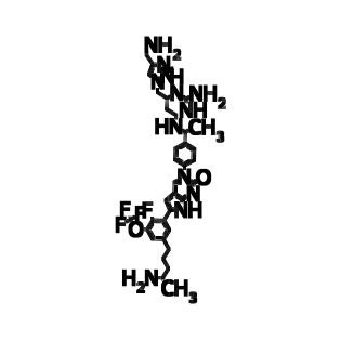 C[C@H](N)CCCc1cc(OC(F)(F)F)c(F)c(-c2cc3cn(-c4ccc([C@H](C)NCC[C@@H](Cn5cc(CN)nn5)NC(=N)N)cc4)c(=O)nc3[nH]2)c1